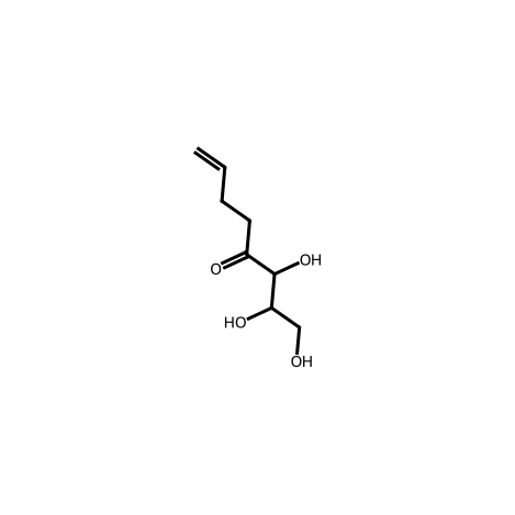 C=CCCC(=O)C(O)C(O)CO